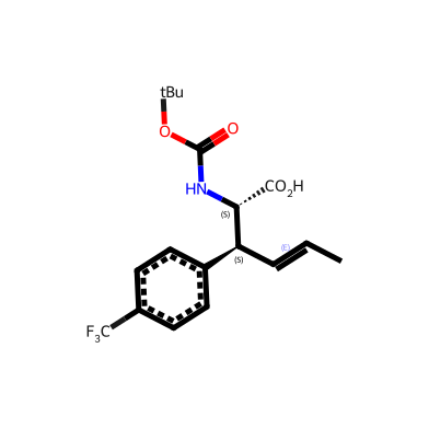 C/C=C/[C@@H](c1ccc(C(F)(F)F)cc1)[C@H](NC(=O)OC(C)(C)C)C(=O)O